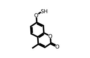 Cc1cc(=O)oc2cc(OS)ccc12